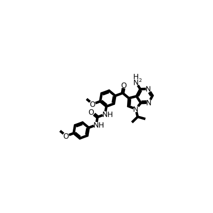 COc1ccc(NC(=O)Nc2cc(C(=O)c3cn(C(C)C)c4ncnc(N)c34)ccc2OC)cc1